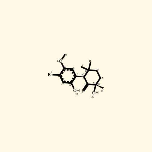 C=C1[C@@H](c2cc(OC)c(Br)cc2O)C(C)(C)CC[C@]1(C)O